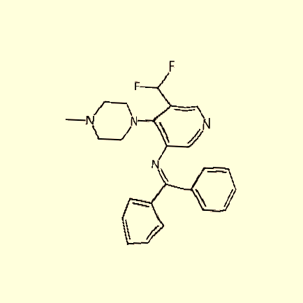 CN1CCN(c2c(N=C(c3ccccc3)c3ccccc3)cncc2C(F)F)CC1